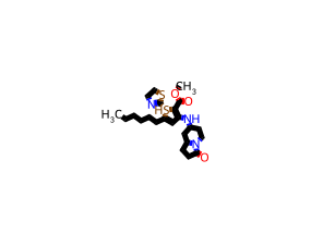 CCCCCCC1=CC(NC2CCN3C(=O)CCC3C2)=C(C(=O)OC)[SH]1C1=NCCS1